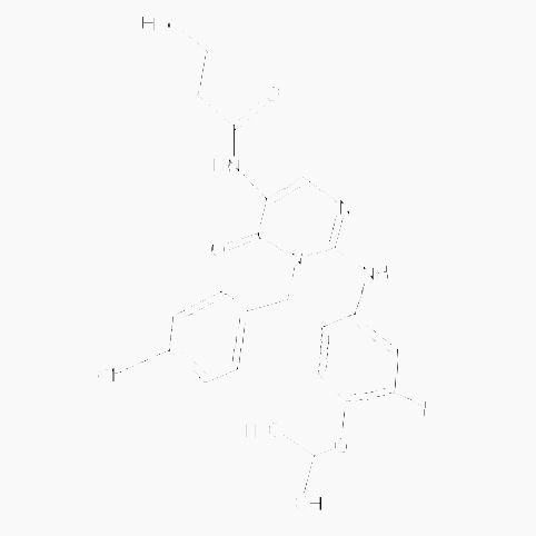 CCCC(=O)Nc1cnc(Nc2ccc(OC(C)C)c(F)c2)n(Cc2ccc(Cl)cc2)c1=O